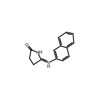 O=C1CCC(=[SH]c2ccc3ccccc3c2)N1